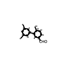 Cc1cc(C)cc(-c2cc(C=O)ccc2C)c1